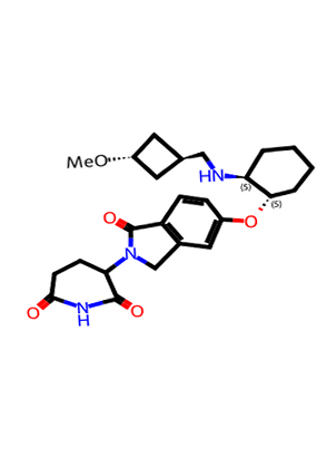 CO[C@H]1C[C@H](CN[C@H]2CCCC[C@@H]2Oc2ccc3c(c2)CN(C2CCC(=O)NC2=O)C3=O)C1